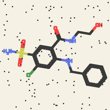 NS(=O)(=O)c1cc(C(=O)NCCO)c(NCc2ccccc2)cc1Cl